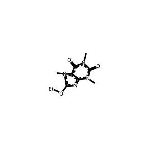 CCOc1nc2c(c(=O)n(C)c(=O)n2C)n1C